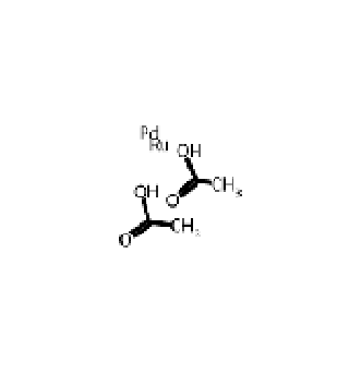 CC(=O)O.CC(=O)O.[Pd].[Ru]